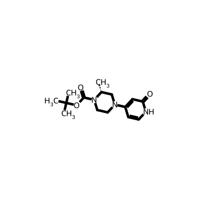 C[C@@H]1CN(c2cc[nH]c(=O)c2)CCN1C(=O)OC(C)(C)C